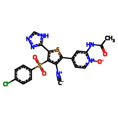 [C-]#[N+]c1c(-c2cc[n+]([O-])c(NC(C)=O)c2)sc(-c2nnc[nH]2)c1S(=O)(=O)c1ccc(Cl)cc1